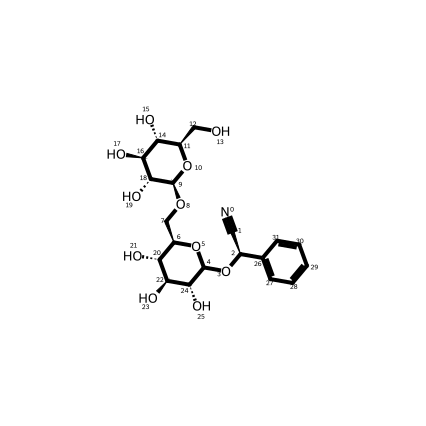 N#C[C@H](OC1O[C@H](CO[C@@H]2O[C@H](CO)[C@@H](O)[C@H](O)[C@H]2O)[C@@H](O)[C@H](O)[C@H]1O)c1ccccc1